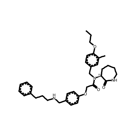 CCCOc1ccc(CN(C(=O)COc2ccc(CNCCCc3ccccc3)cc2)[C@H]2CCCCNC2=O)cc1C